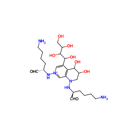 NCCCC[C@@H](C=O)NN1CC(O)C(O)c2c(C(O)C(O)C(O)CO)c[n+](N[C@H](C=O)CCCCN)cc21